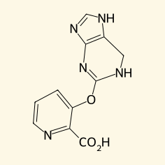 O=C(O)c1ncccc1OC1=Nc2nc[nH]c2CN1